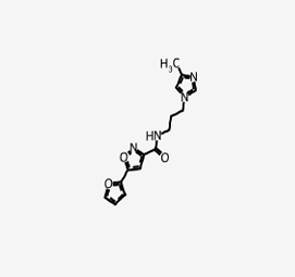 Cc1cn(CCCNC(=O)c2cc(-c3ccco3)on2)cn1